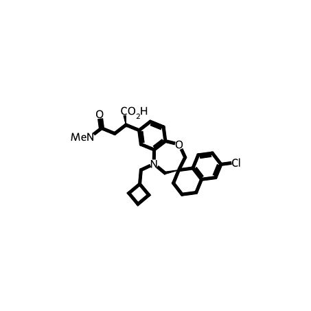 CNC(=O)C[C@@H](C(=O)O)c1ccc2c(c1)N(CC1CCC1)C[C@@]1(CCCc3cc(Cl)ccc31)CO2